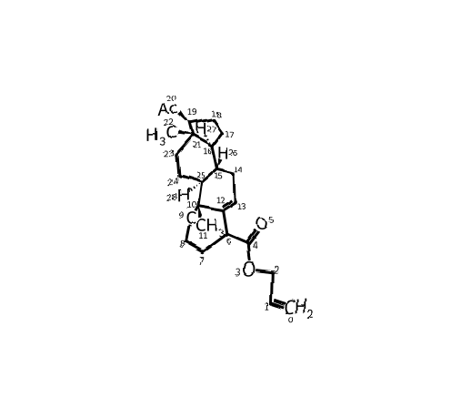 C=CCOC(=O)C1CCC[C@@]2(C)C1=CC[C@H]1[C@@H]3CC[C@H](C(C)=O)[C@@]3(C)CC[C@@H]12